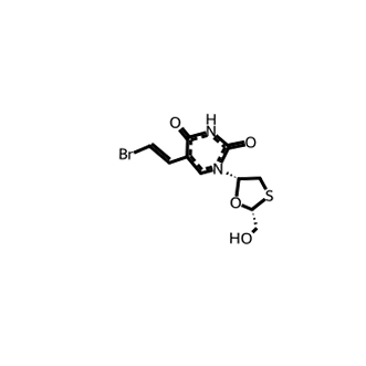 O=c1[nH]c(=O)n([C@@H]2CS[C@H](CO)O2)cc1/C=C/Br